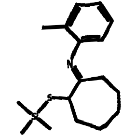 Cc1ccccc1N=C1CCCCCC1S[Si](C)(C)C